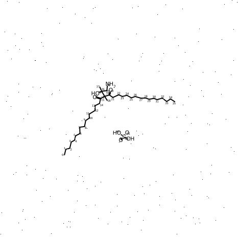 CCCCCCCCCCCCCCCC(=O)C(C)(C(=O)CCCCCCCCCCCCCCC)C(C)(O)CN.O=S(=O)(O)O